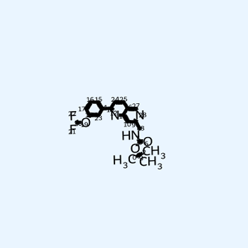 CC(C)(C)OC(=O)NCc1cc2nc(-c3cccc(OC(F)F)c3)ccc2cn1